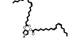 CCCCC/C=C\C/C=C\CCCCCCCC(=O)O[C@H]1CN(C)C[C@H]1OC(=O)CCCCCCC/C=C\C/C=C\CCCCC